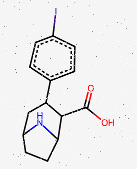 O=C(O)C1C2CCC(CC1c1ccc(I)cc1)N2